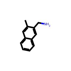 Cc1cc2ccccc2cc1CN